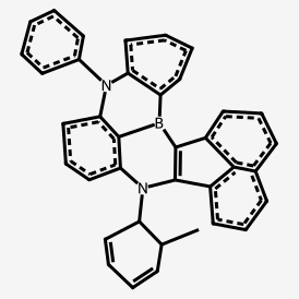 CC1C=CC=CC1N1C2=C(B3c4ccccc4N(c4ccccc4)c4cccc1c43)c1cccc3cccc2c13